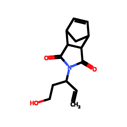 C=CC(CCO)N1C(=O)C2C3C=CC(C3)C2C1=O